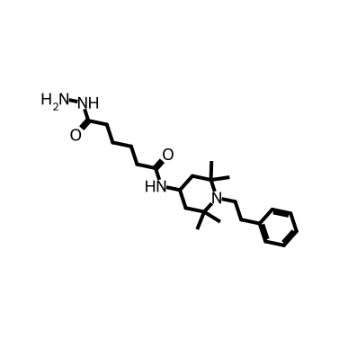 CC1(C)CC(NC(=O)CCCCC(=O)NN)CC(C)(C)N1CCc1ccccc1